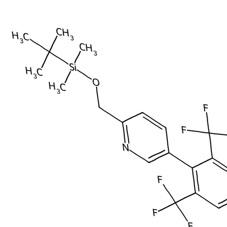 CC(C)(C)[Si](C)(C)OCc1ccc(-c2c(C(F)(F)F)cccc2C(F)(F)F)cn1